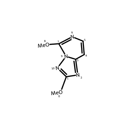 COc1nc2ccnc(OC)n2n1